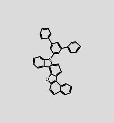 c1ccc(-c2cc(-c3ccccc3)cc(-n3c4ccccc4c4c5oc6ccc7ccccc7c6c5ccc43)c2)cc1